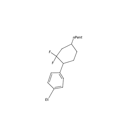 CCCCCC1CCC(c2ccc(CC)cc2)C(F)(F)C1